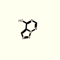 Oc1ncnn2nncc12